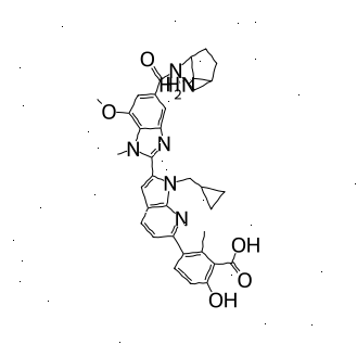 COc1cc(C(=O)N2CC3CCC2[C@@H]3N)cc2nc(-c3cc4ccc(-c5ccc(O)c(C(=O)O)c5C)nc4n3CC3CC3)n(C)c12